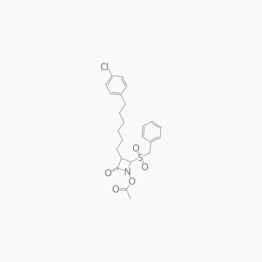 CC(=O)ON1C(=O)C(CCCCCCc2ccc(Cl)cc2)C1S(=O)(=O)Cc1ccccc1